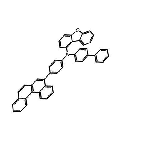 c1ccc(-c2ccc(N(c3ccc(-c4cc5ccc6ccccc6c5c5ccccc45)cc3)c3cccc4oc5ccccc5c34)cc2)cc1